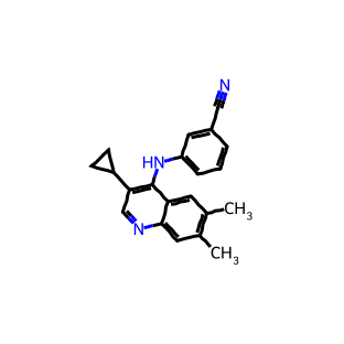 Cc1cc2ncc(C3CC3)c(Nc3cccc(C#N)c3)c2cc1C